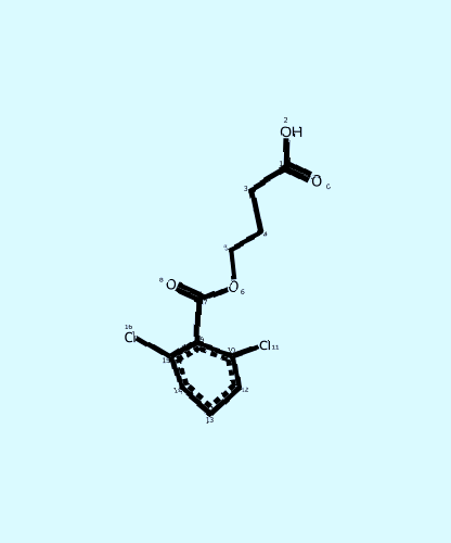 O=C(O)CCCOC(=O)c1c(Cl)cccc1Cl